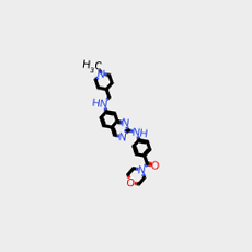 CN1CCC(CNc2ccc3cnc(Nc4ccc(C(=O)N5CCOCC5)cc4)nc3c2)CC1